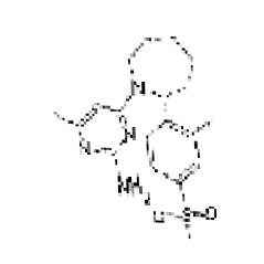 Cc1cc(N2CCCCC[C@@H]2c2ccc(S(C)(=O)=O)cc2C)nc(N)n1